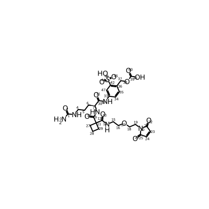 NC(=O)NCCC[C@H](NC(=O)C1(C(=O)NCCOCCN2C(=O)C=CC2=O)CCC1)C(=O)Nc1ccc(COC(=O)O)c(S(=O)(=O)O)c1